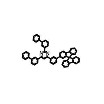 c1ccc(-c2cccc(-c3cc(-c4cccc(-c5ccc6c(c5)C5(c7ccccc7-c7ccccc75)c5ccccc5-6)c4)nc(-c4cccc(-c5ccccc5)c4)n3)c2)cc1